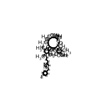 CC[C@H]1OC(=O)[C@H](C)C([C@H]2C[C@@](C)(OC)[C@@H](O)[C@H](C)O2)[C@H](C)[C@@H](O[C@@H]2O[C@H](C)C[C@H](N(C)CCCc3cn(Cc4ccc(F)cc4)nn3)[C@H]2O)[C@](C)(OC)C[C@@H](C)C(=O)[C@H](C)[C@@H](O)[C@]1(C)O